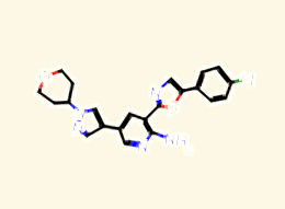 Nc1ncc(-c2cnn(C3CCOCC3)c2)cc1-c1ncc(-c2ccc(Cl)cc2)o1